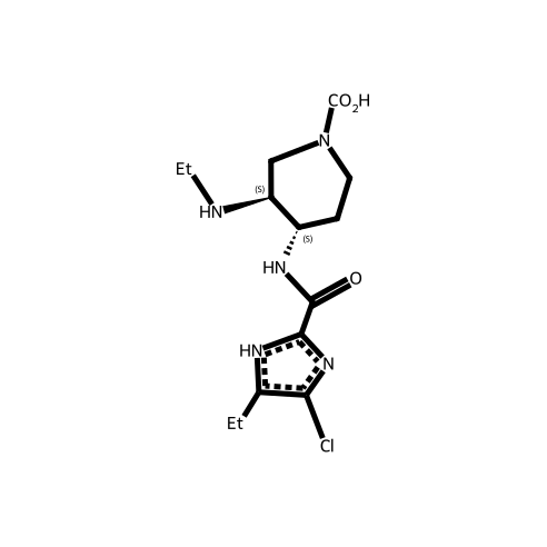 CCN[C@H]1CN(C(=O)O)CC[C@@H]1NC(=O)c1nc(Cl)c(CC)[nH]1